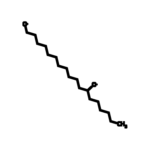 CCCCCCC([O])CCCCCCCCCCC[O]